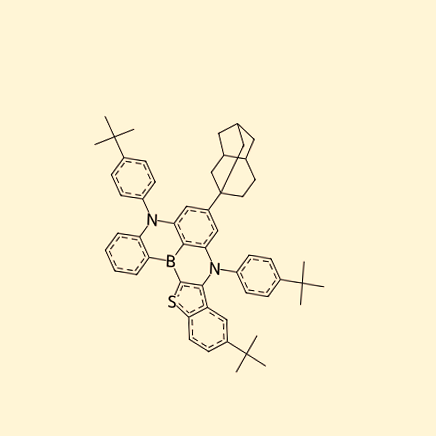 CC(C)(C)c1ccc(N2c3ccccc3B3c4sc5ccc(C(C)(C)C)cc5c4N(c4ccc(C(C)(C)C)cc4)c4cc(C56CCC7CC(CC7C5)C6)cc2c43)cc1